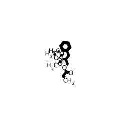 C=CC(=O)OCC(Cc1ccccc1)[Si](OC)(OC)OC